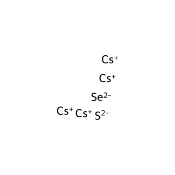 [Cs+].[Cs+].[Cs+].[Cs+].[S-2].[Se-2]